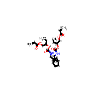 C=CC(=O)OCC(CC)OC(=O)NCC1CC2CCC1C2CNC(=O)OC(CC)COC(=O)C=C